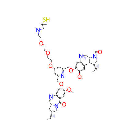 C/C=C1\CC(/C=N\c2cc(OCc3cc(OCCOCCOCCN(C)CC(C)(C)S)cc(COc4cc5c(cc4OC)C(=O)N4C/C(=C/C)CC4C=N5)n3)c(OC)cc2C)N(C=O)C1